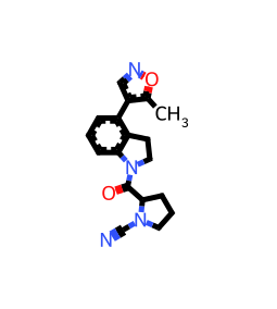 Cc1oncc1-c1cccc2c1CCN2C(=O)C1CCCN1C#N